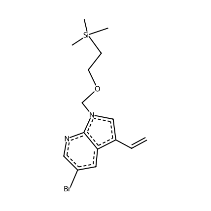 C=Cc1cn(COCC[Si](C)(C)C)c2ncc(Br)cc12